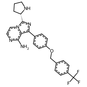 Nc1nccn2c([C@@H]3CCCN3)nc(-c3ccc(OCc4ccc(C(F)(F)F)cc4)cc3)c12